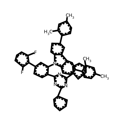 Cc1ccc(-c2ccc3c(c2)c2cc(-c4ccc(C)cc4C)ccc2n3-c2cc(-c3c(F)cccc3F)ccc2-c2nc(-c3ccccc3)nc(-c3ccccc3)n2)c(C)c1